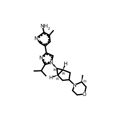 Cc1cc(-c2cn([C@H]3[C@@H]4CC(N5CCOC[C@@H]5C)C[C@@H]43)c(C(C)C)n2)cnc1N